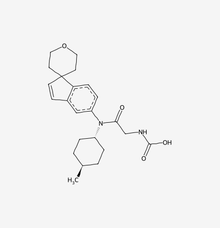 C[C@H]1CC[C@H](N(C(=O)CNC(=O)O)c2ccc3c(c2)C=CC32CCOCC2)CC1